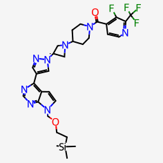 C[Si](C)(C)CCOCn1ccc2c(-c3cnn([C]4CN(C5CCN(C(=O)c6ccnc(C(F)(F)F)c6F)CC5)C4)c3)ncnc21